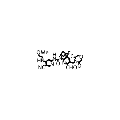 COCCNc1cc(NC(=O)N2c3nc(C=O)c(CN4C(=O)COCC4C)cc3C3(F)CC2C3)ncc1C#N